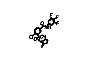 C=C1CCC(C)[C@@H]1CS(=O)(=O)c1cc(C(=O)Nc2cc(F)c(F)c(F)c2)ccc1Cl